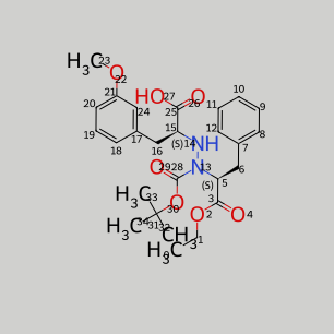 CCOC(=O)[C@H](Cc1ccccc1)N(N[C@@H](Cc1cccc(OC)c1)C(=O)O)C(=O)OC(C)(C)C